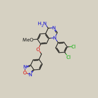 COc1cc2c(cc1OCc1ccc3nonc3c1)N(c1ccc(Cl)c(Cl)c1)C=NC2N